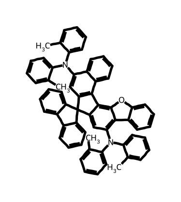 Cc1ccccc1N(c1ccccc1C)c1cc2c(c3ccccc13)-c1c(cc(N(c3ccccc3C)c3ccccc3C)c3c1oc1ccccc13)C21c2ccccc2-c2ccccc21